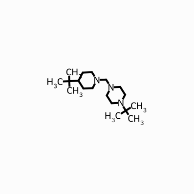 CC(C)(C)C1CCN(CN2CCN(C(C)(C)C)CC2)CC1